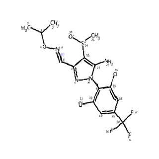 CC(C)O/N=C/c1nn(-c2c(Cl)cc(C(F)(F)F)cc2Cl)c(N)c1[S+](C)[O-]